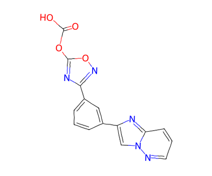 O=C(O)Oc1nc(-c2cccc(-c3cn4ncccc4n3)c2)no1